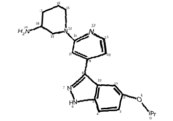 CC(C)Oc1ccc2[nH]nc(-c3ccnc(N4CCCC(N)C4)c3)c2c1